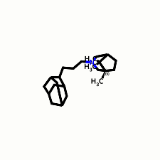 CC1(C)C2CC[C@]1(C)CN(CCCC1C3CC4CC(C3)CC1C4)C2